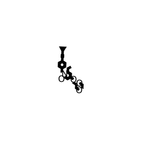 CCc1cc(OCC2COCCO2)cc(=O)n1Cc1ccc(C#CC2CC2)cc1